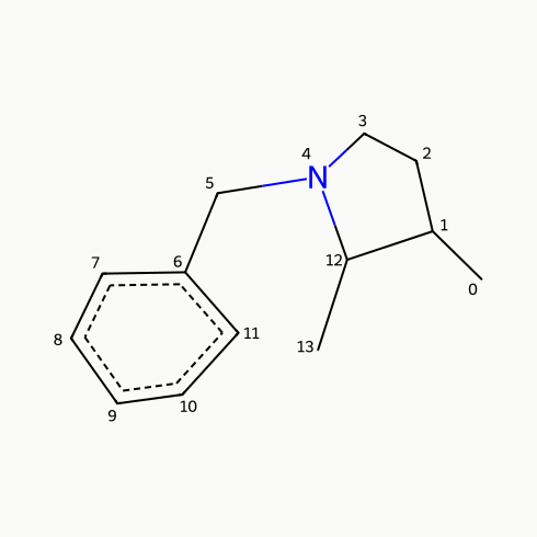 CC1CCN(Cc2ccccc2)C1C